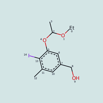 CCOC(C)Oc1cc(CO)cc(C)c1I